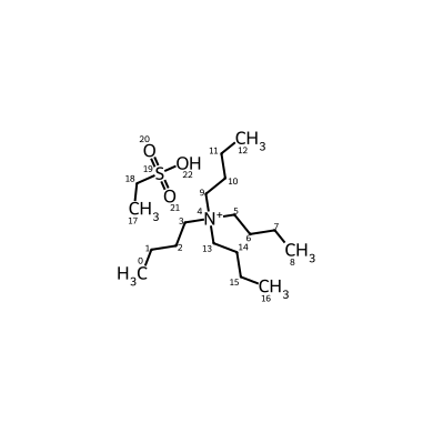 CCCC[N+](CCCC)(CCCC)CCCC.CCS(=O)(=O)O